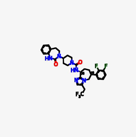 O=C(N[C@@H]1CC[C@@H](c2cccc(F)c2F)Cn2c(CC(F)(F)F)cnc21)N1CCC(N2CCc3ccccc3NC2=O)CC1